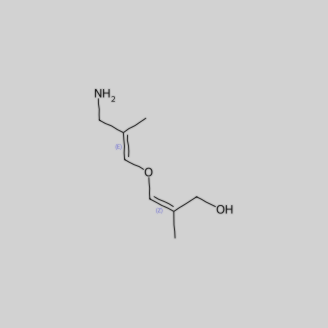 C/C(=C/O/C=C(\C)CN)CO